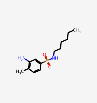 CCCCCCNS(=O)(=O)c1ccc(C)c(N)c1